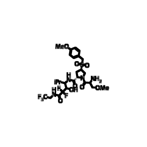 COCC(N)C(=O)N1C[C@H](S(=O)(=O)Cc2ccc(OC)cc2)C[C@H]1C(=O)NC(C(C)C)C(O)C(F)(F)C(=O)NCC(F)(F)F